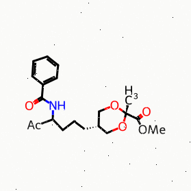 COC(=O)[C@]1(C)OC[C@H](CCCC(NC(=O)c2ccccc2)C(C)=O)CO1